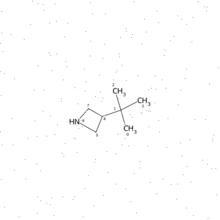 CC(C)(C)C1CNC1